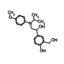 COc1ccc(N(CC(O)c2ccc(O)c(CO)c2)C(C)C)cc1